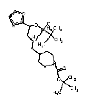 CC(C)(C)OC(=O)N1CCC(CCCC(O[Si](C)(C)C(C)(C)C)c2ncco2)CC1